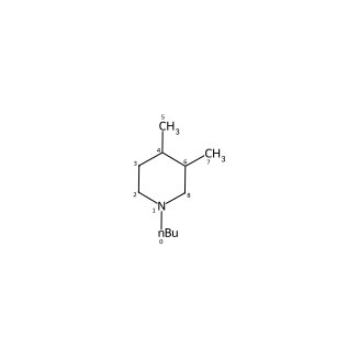 CCCCN1CCC(C)C(C)C1